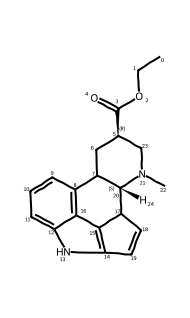 CCOC(=O)[C@@H]1CC2c3cccc4[nH]c5c(c34)C(C=C5)[C@H]2N(C)C1